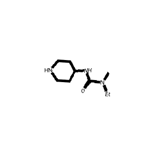 CCN(C)C(=O)NC1CCNCC1